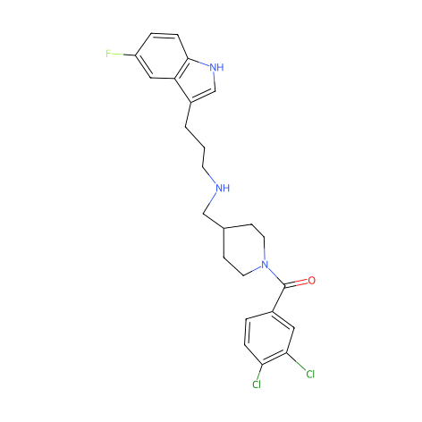 O=C(c1ccc(Cl)c(Cl)c1)N1CCC(CNCCCc2c[nH]c3ccc(F)cc23)CC1